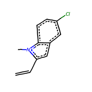 C=Cc1cc2cc(Cl)ccc2n1C